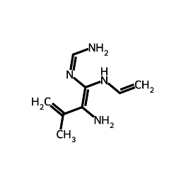 C=CNC(/N=C\N)=C(\N)C(=C)C